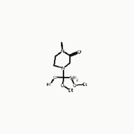 CCO[SiH2]C(OCC)(OCC)N1CCN(C)C(=O)C1